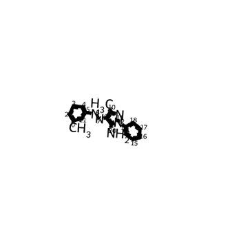 Cc1cccc(N=Nc2c(C)nn(-c3ccccc3)c2N)c1